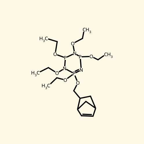 CCON1P(OCC)N=P(OCC)(OCC2CC3C=CC2C3)N(OCC)P1OCC